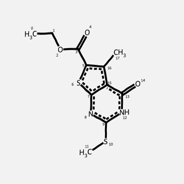 CCOC(=O)c1sc2nc(SC)[nH]c(=O)c2c1C